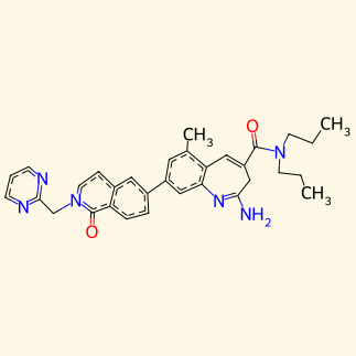 CCCN(CCC)C(=O)C1=Cc2c(C)cc(-c3ccc4c(=O)n(Cc5ncccn5)ccc4c3)cc2N=C(N)C1